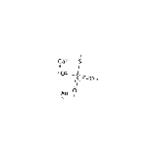 O=S(=O)([O-])[S-].[Au].[Ca+2]